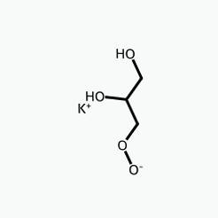 [K+].[O-]OCC(O)CO